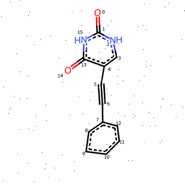 O=c1[nH]cc(C#Cc2ccccc2)c(=O)[nH]1